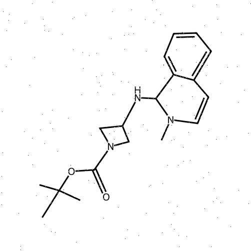 CN1C=Cc2ccccc2C1NC1CN(C(=O)OC(C)(C)C)C1